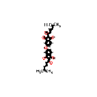 CC(C)CCCC(=O)C1C(=O)c2ccc(Oc3ccc4c(c3)C(=O)C(C(=O)CCCC(C)C)C4=O)cc2C1=O